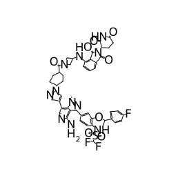 CC(Oc1cc(-c2nn(C)c3c(-c4cnn(C5CCC(C(=O)N6CC(Nc7cccc8c7C(=O)N(C7CCC(=O)NC7=O)C8=O)C6)CC5)c4)cnc(N)c23)ccc1NS(=O)(=O)C(F)F)c1ccc(F)cc1